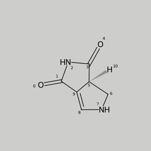 O=C1NC(=O)[C@H]2CNC=C12